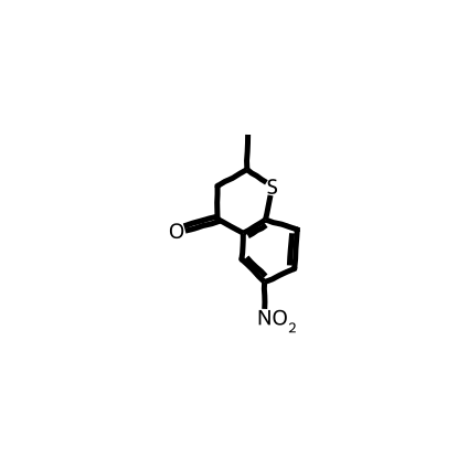 CC1CC(=O)c2cc([N+](=O)[O-])ccc2S1